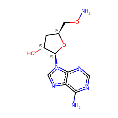 NOC[C@@H]1C[C@@H](O)[C@H](n2cnc3c(N)ncnc32)O1